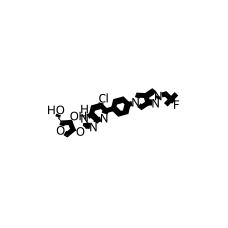 CC(C)(F)Cn1cc2c(n1)CN(c1ccc(-c3nc4nc(O[C@@H]5CO[C@H](CO)[C@H]5O)[nH]c4cc3Cl)cc1)C2